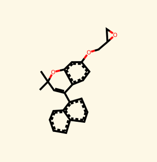 CC1(C)C=C(c2cccc3ccccc23)c2ccc(OCC3CO3)cc2O1